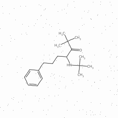 CC(C)(C)NC(CCCc1ccccc1)C(=O)C(C)(C)C